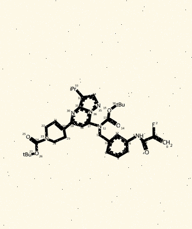 C=C(F)C(=O)Nc1cccc(CN(C(=O)OC(C)(C)C)c2cc(C3=CCN(C(=O)OC(C)(C)C)CC3)nc3c(C(C)C)cnn23)c1